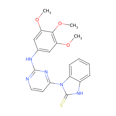 COc1cc(Nc2nccc(-n3c(=S)[nH]c4ccccc43)n2)cc(OC)c1OC